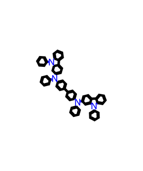 C1=C2c3ccccc3N(c3ccccc3)C2CC(N(c2ccccc2)c2ccc(-c3ccc(N(c4ccccc4)c4ccc5c6ccccc6n(-c6ccccc6)c5c4)cc3)cc2)=C1